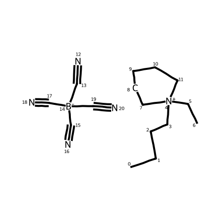 CCCC[N+]1(CC)CCCCC1.N#C[B-](C#N)(C#N)C#N